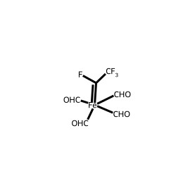 O=[CH][Fe]([CH]=O)([CH]=O)([CH]=O)=[C](F)C(F)(F)F